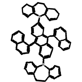 C1=CC2=C(CC1)CCC1=C(C=CCC1)N2c1ccc2c(-c3cccc4ccccc34)c3cc(N4c5ccccc5CCc5ccccc54)ccc3c(-c3cccc4ccccc34)c2c1